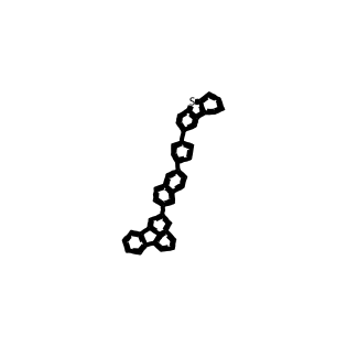 c1ccc2c(c1)-c1cccc3cc(-c4ccc5cc(-c6ccc(-c7ccc8sc9ccccc9c8c7)cc6)ccc5c4)cc-2c13